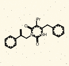 C=C(Cn1c(=O)[nH]c(Cc2ccccc2)c(C(C)C)c1=O)c1ccccc1